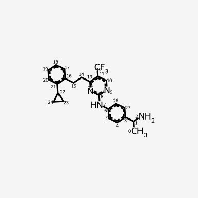 CC(N)c1ccc(Nc2ncc(C(F)(F)F)c(CCc3ccccc3C3CC3)n2)cc1